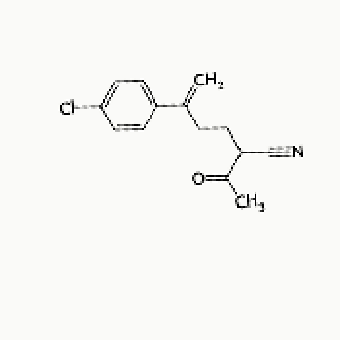 C=C(CCC(C#N)C(C)=O)c1ccc(Cl)cc1